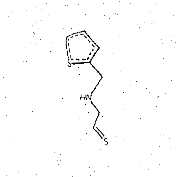 S=CCNCc1cccs1